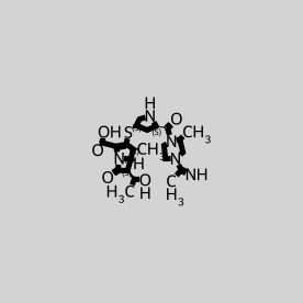 CC(=N)N1CCN(C(=O)[C@@H]2C[C@H](SC3=C(C(=O)O)N4C(=O)[C@H](C(C)O)[C@H]4[C@H]3C)CN2)C(C)C1